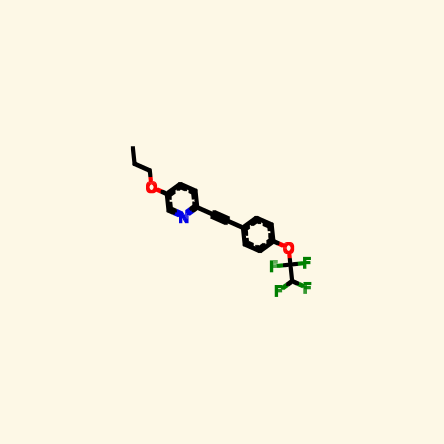 CCCOc1ccc(C#Cc2ccc(OC(F)(F)C(F)F)cc2)nc1